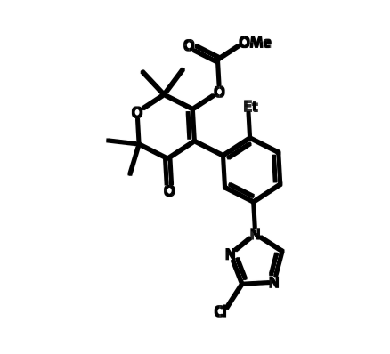 CCc1ccc(-n2cnc(Cl)n2)cc1C1=C(OC(=O)OC)C(C)(C)OC(C)(C)C1=O